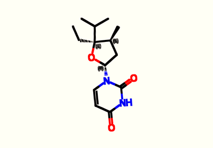 CC[C@@]1(C(C)C)O[C@@H](n2ccc(=O)[nH]c2=O)C[C@@H]1C